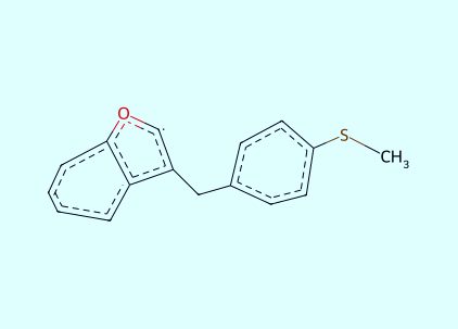 CSc1ccc(Cc2[c]oc3ccccc23)cc1